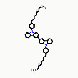 C=C/C=C/CCCCc1ccc(-n2c3ccccc3c3cc(-c4ccc5c(c4)c4ccccc4n5-c4ccc(CCCC/C=C/C=C)cc4)ccc32)cc1